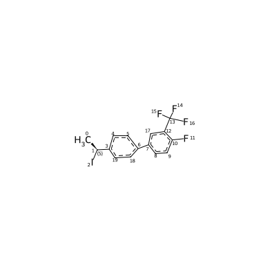 C[C@H](I)c1ccc(-c2ccc(F)c(C(F)(F)F)c2)cc1